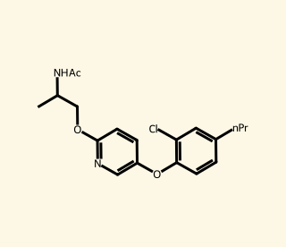 CCCc1ccc(Oc2ccc(OCC(C)NC(C)=O)nc2)c(Cl)c1